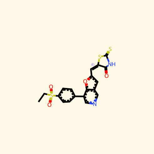 CCS(=O)(=O)c1ccc(-c2cncc3cc(/C=C4/SC(=S)NC4=O)oc23)cc1